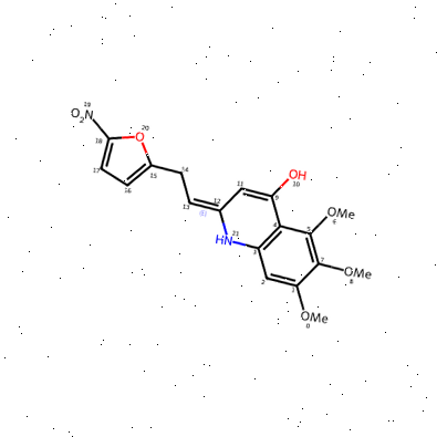 COc1cc2c(c(OC)c1OC)C(O)=C/C(=C\Cc1ccc([N+](=O)[O-])o1)N2